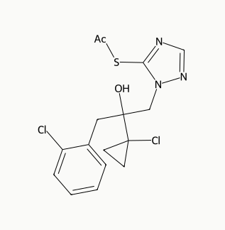 CC(=O)Sc1ncnn1CC(O)(Cc1ccccc1Cl)C1(Cl)CC1